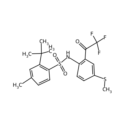 CSc1ccc(NS(=O)(=O)c2ccc(C)cc2C(C)(C)C)c(C(=O)C(F)(F)F)c1